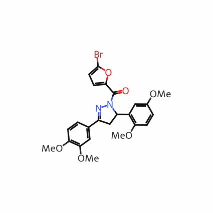 COc1ccc(OC)c(C2CC(c3ccc(OC)c(OC)c3)=NN2C(=O)c2ccc(Br)o2)c1